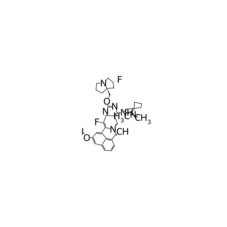 C#Cc1cccc2cc(OI)cc(-c3ncc4c(NCC5(N(C)C)CCC5)nc(OC[C@@]56CCCN5C[C@H](F)C6)nc4c3F)c12